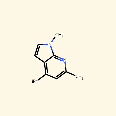 Cc1cc(C(C)C)c2ccn(C)c2n1